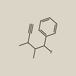 C#C[C](C)C(C)C(F)c1ccccc1